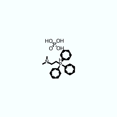 CN(C)CC[PH](c1ccccc1)(c1ccccc1)c1ccccc1.O=P(O)(O)O